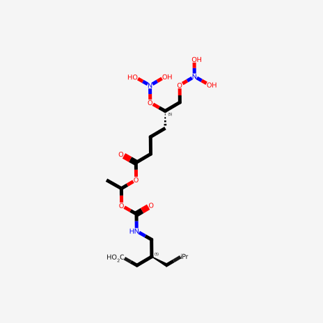 CC(C)C[C@H](CNC(=O)OC(C)OC(=O)CCC[C@@H](CON(O)O)ON(O)O)CC(=O)O